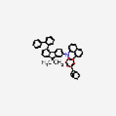 CC1(C)c2cc(N(c3ccc(C4CC5CCC4C5)cc3)c3cccc4cccc(C5CCCCC5)c34)ccc2-c2c(-c3ccccc3-c3ccccc3)cccc21